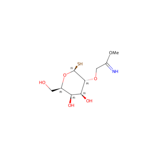 COC(=N)CO[C@@H]1[C@@H](O)[C@@H](O)[C@@H](CO)O[C@H]1S